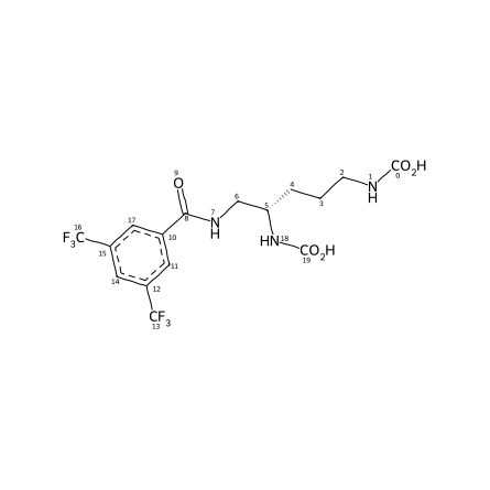 O=C(O)NCCC[C@@H](CNC(=O)c1cc(C(F)(F)F)cc(C(F)(F)F)c1)NC(=O)O